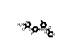 Cc1ccc(NC(=O)c2cccnc2)c(Nc2ccc(Oc3ccnc(N)c3Cl)c(F)c2)c1